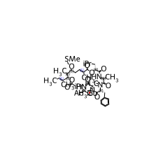 C/C=C(\C)[C@@H](OC(=O)C(C)C)[C@H](C)[C@H](C/C=C(\C)C(=O)O[C@H](CC(C)C)C(=O)N[C@@H](C)C(=O)N(C)[C@H](Cc1ccccc1)C(=O)N(C)CC(=O)N[C@H](C(C)=O)C(C)CC)OCSC